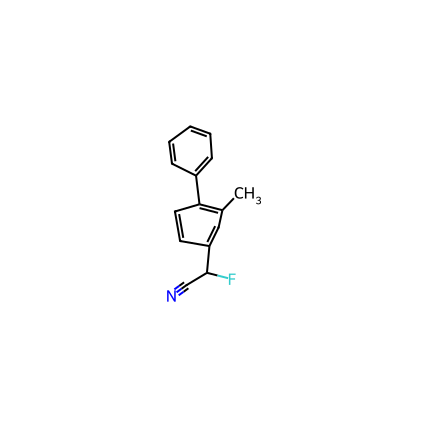 Cc1cc(C(F)C#N)ccc1-c1ccccc1